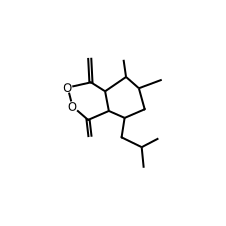 C=C1OOC(=C)C2C(C)C(C)CC(CC(C)C)C12